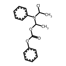 CC(Cl)N(c1ccccc1)C(C)OC(=O)Oc1ccccc1